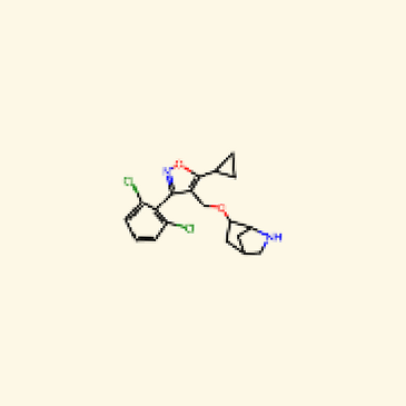 Clc1cccc(Cl)c1-c1noc(C2CC2)c1COC1CC2CNC1C2